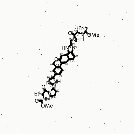 CC[C@H](NC(=O)OC)C(=O)N1[C@@H](C)CC[C@H]1c1ncc(-c2ccc3c(c2)COc2cc4c(ccc5nc(CNC(=O)[C@@H](NC(=O)OC)C(C)C)[nH]c54)cc2-3)[nH]1